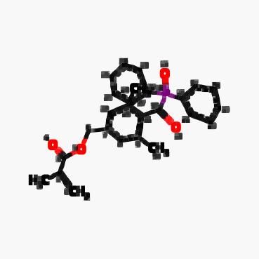 C=C(C)C(=O)OCc1cc(C)c(C(=O)P(=O)(c2ccccc2)c2ccccc2)c(C)c1